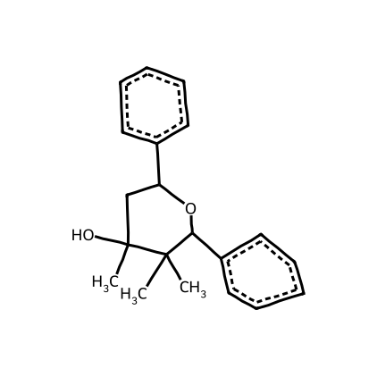 CC1(O)CC(c2ccccc2)OC(c2ccccc2)C1(C)C